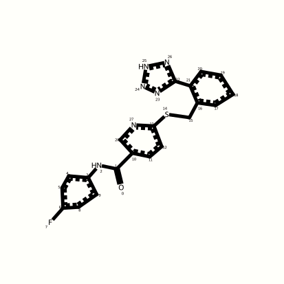 O=C(Nc1ccc(F)cc1)c1ccc(SCc2ccccc2-c2nn[nH]n2)nc1